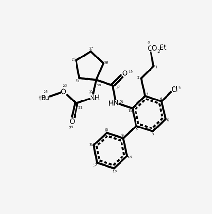 CCOC(=O)CCc1c(Cl)ccc(-c2ccccc2)c1NC(=O)C1(NC(=O)OC(C)(C)C)CCCC1